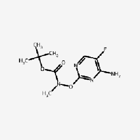 CN(Oc1ncc(F)c(N)n1)C(=O)OC(C)(C)C